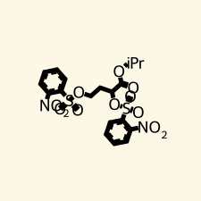 CC(C)OC(=O)C(CCOS(=O)(=O)c1ccccc1[N+](=O)[O-])OS(=O)(=O)c1ccccc1[N+](=O)[O-]